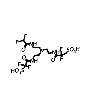 O=C(NCCN(CCNC(=O)C(F)(F)CS(=O)(=O)O)CCNC(=O)C(F)(F)S(=O)(=O)O)C(F)F